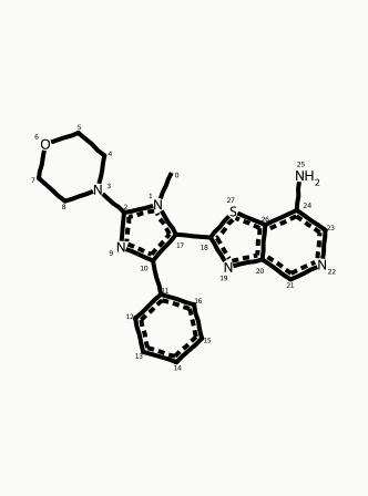 Cn1c(N2CCOCC2)nc(-c2ccccc2)c1-c1nc2cncc(N)c2s1